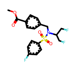 COC(=O)c1ccc(CN(C(CF)CF)S(=O)(=O)c2ccc(F)cc2)cc1